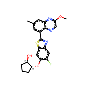 COc1cnc2c(-c3nc4cc(F)c(O[C@@H]5CCC[C@H]5O)cc4s3)cc(C)cc2n1